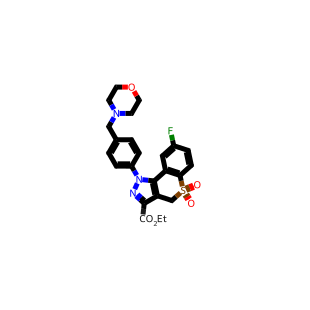 CCOC(=O)c1nn(-c2ccc(CN3CCOCC3)cc2)c2c1CS(=O)(=O)c1ccc(F)cc1-2